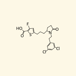 O=C(O)c1sc(CCCC2CCC(=O)N2CCc2cc(Cl)cc(Cl)c2)cc1F